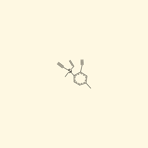 C#Cc1cc(C)ccc1[Si](C)(C#C)C=C